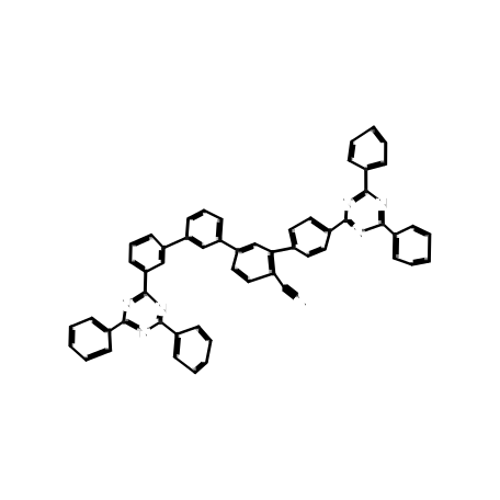 N#Cc1ccc(-c2cccc(-c3cccc(-c4nc(-c5ccccc5)nc(-c5ccccc5)n4)c3)c2)cc1-c1ccc(-c2nc(-c3ccccc3)nc(-c3ccccc3)n2)cc1